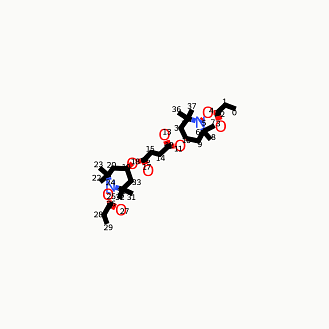 CCC(=O)ON1C(C)(C)CC(OC(=O)CCC(=O)OC2CC(C)(C)N(OC(=O)CC)C(C)(C)C2)CC1(C)C